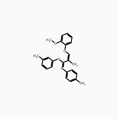 COc1ccccc1OC=C(C)C(=Nc1ccc(C)cc1)Oc1cccc(C)c1